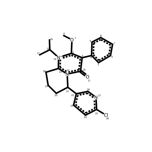 COc1c(-c2ccccc2)c(=O)n2c([n+]1C(C)C)CCCC2c1ccc(Cl)nc1